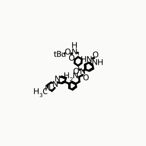 CN1CCN(c2cc(-c3cccc(C[C@H](N)C(=O)N(c4ccc5[nH]c(=O)[nH]c5c4)C(=O)[C@H]4CC[C@H](CNC(=O)OC(C)(C)C)CC4)c3)ccn2)CC1